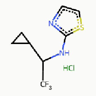 Cl.FC(F)(F)C(Nc1nccs1)C1CC1